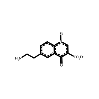 CCOC(=O)c1cn(CC)c2ccc(CCN)cc2c1=O